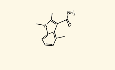 Cc1cccc2c1c(C(N)=O)c(C)n2C